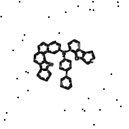 c1ccc(-c2ccc(N(c3ccc4ccc5ccc6c7ccccc7[se]c6c5c4c3)c3cccc4c3oc3ccccc34)cc2)cc1